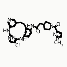 Cn1ccc(C(=O)N2CCC(CC(=O)Nc3ccc4cc3CCc3cncc(c3)Nc3ncc(Cl)c(n3)N4)CC2)n1